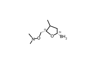 B[C@H]1CC(C)[C@@H](CON(C)C)O1